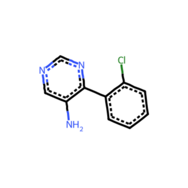 Nc1cncnc1-c1ccccc1Cl